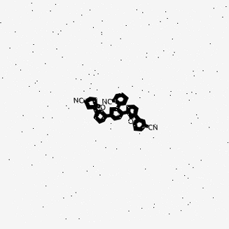 N#Cc1ccc2oc3c(-c4ccc(-c5cccc6c5oc5ccc(C#N)cc56)c(-c5ccccc5C#N)c4)cccc3c2c1